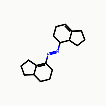 C1=C2CCCC2C(N=NC2=C3CCCC3CCC2)CC1